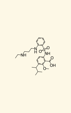 CCNCCCNc1ccccc1S(=O)(=O)Nc1ccc(C(C)C(C)C)c(OC)c1C(=O)O